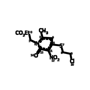 CCOC(=O)Cn1c(C)cc(SCCCl)c([N+](=O)[O-])c1=O